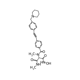 CNC(=O)C(C(=O)NO)N(C)C(=O)c1ccc(C#Cc2ccc(CN3CCCCC3)cc2)cc1